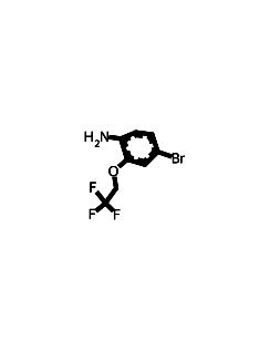 Nc1ccc(Br)cc1OCC(F)(F)F